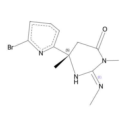 C/N=C1\N[C@](C)(c2cccc(Br)n2)CC(=O)N1C